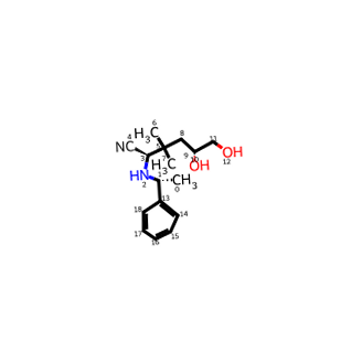 C[C@@H](N[C@@H](C#N)C(C)(C)C[C@@H](O)CO)c1ccccc1